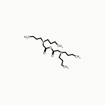 CCCCN(CCCC)CC(=O)OC(=O)CN(CCCC)CCCC